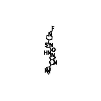 Cn1cc(-c2cnc3cnc(NC(=O)c4csc(C5CCN(CCF)CC5)n4)cc3c2)cn1